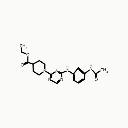 CCOC(=O)C1CCN(c2ncnc(Nc3cccc(NC(C)=O)c3)n2)CC1